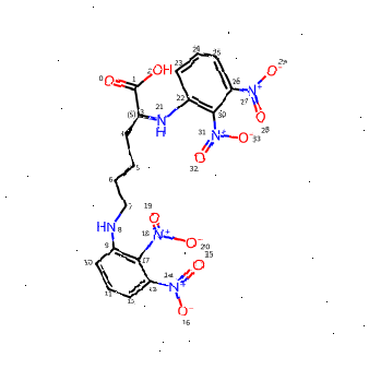 O=C(O)[C@H](CCCCNc1cccc([N+](=O)[O-])c1[N+](=O)[O-])Nc1cccc([N+](=O)[O-])c1[N+](=O)[O-]